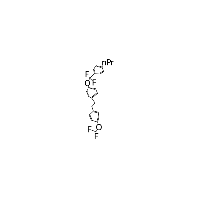 CCCc1ccc(C(F)(F)Oc2ccc(CCc3ccc(OC(F)F)cc3)cc2)cc1